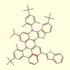 Cc1cc(C(C)(C)C)cc(C)c1N1c2cc(C(C)C)cc3c2B(c2cc(-c4cc5ccccc5s4)ccc2N3c2c(C)cc(C(C)(C)C)cc2-c2ccccc2)c2sc3ccc(C(C)(C)C)cc3c21